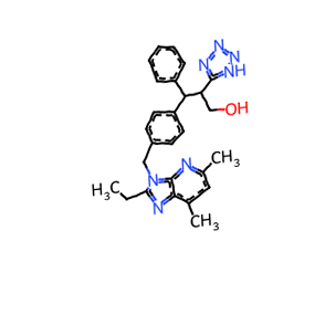 CCc1nc2c(C)cc(C)nc2n1Cc1ccc(C(c2ccccc2)C(CO)c2nnn[nH]2)cc1